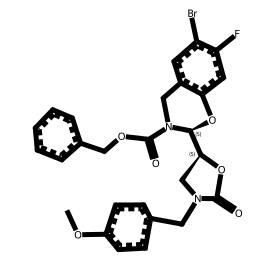 COc1ccc(CN2C[C@@H]([C@@H]3Oc4cc(F)c(Br)cc4CN3C(=O)OCc3ccccc3)OC2=O)cc1